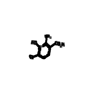 Nc1c(C(=O)O)ccc(Cl)[n+]1O